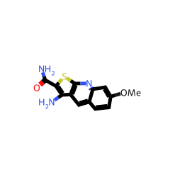 COc1ccc2cc3c(N)c(C(N)=O)sc3nc2c1